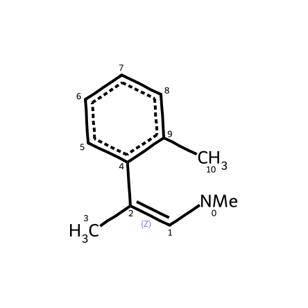 CN/C=C(/C)c1ccccc1C